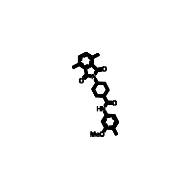 COc1cc(NC(=O)C2CCC(N3C(=O)c4c(C)ccc(C)c4C3=O)CC2)ccc1C